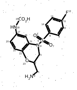 NCC1CN(S(=O)(=O)c2ccc(F)cc2)c2cc(NC(=O)O)ccc2O1